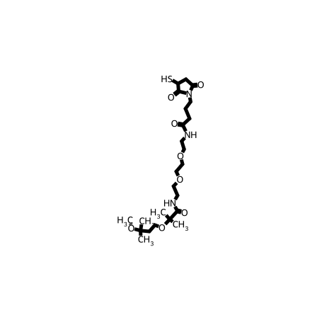 COC(C)(C)CCOC(C)(C)C(=O)NCCOCCOCCNC(=O)CCCN1C(=O)CC(S)C1=O